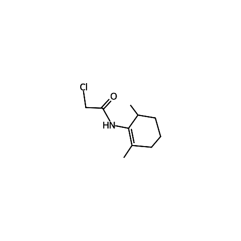 CC1=C(NC(=O)CCl)C(C)CCC1